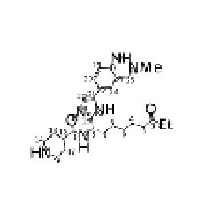 CCC(=O)CCCCC[C@H](NC(=O)C1CCNCC1)c1ncc(C2=C/C(=C/NC)C(=N)C=C2)[nH]1